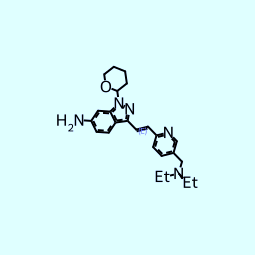 CCN(CC)Cc1ccc(/C=C/c2nn(C3CCCCO3)c3cc(N)ccc23)nc1